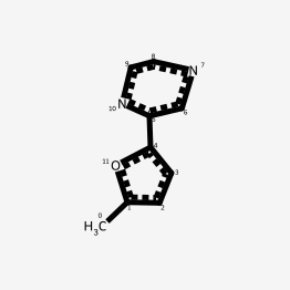 Cc1ccc(-c2cnccn2)o1